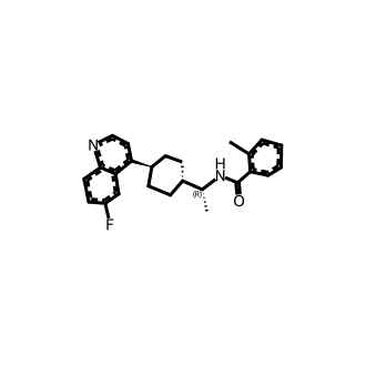 Cc1ccccc1C(=O)N[C@H](C)[C@H]1CC[C@H](c2ccnc3ccc(F)cc32)CC1